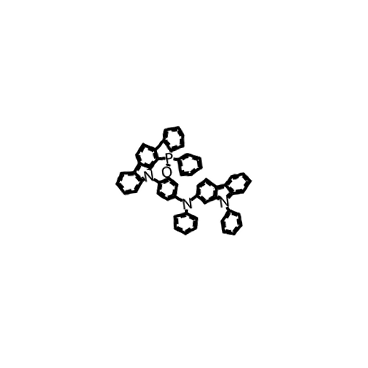 O=P1(c2ccccc2)c2ccccc2-c2ccc3c4ccccc4n(-c4ccc(N(c5ccccc5)c5ccc6c7ccccc7n(-c7ccccc7)c6c5)cc4)c3c21